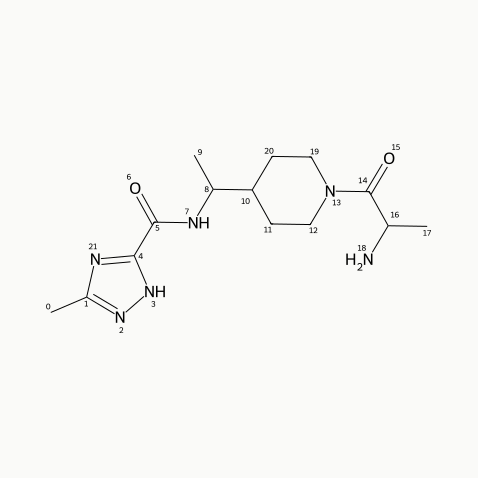 Cc1n[nH]c(C(=O)NC(C)C2CCN(C(=O)C(C)N)CC2)n1